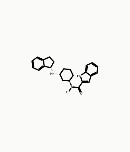 CCN(C(=O)c1cc2ccccc2[nH]1)[C@@H]1CCC[C@@H](N[C@H]2CCc3ccccc32)C1